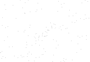 COc1ccc([N+](=O)[O-])cc1-c1nc2cc(-c3ccc(C(F)(F)F)cc3)ccc2o1